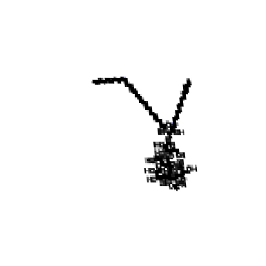 CCCCCCCC/C=C\CCCCCCCCCCCCCCCC(=O)N[C@@H](CO[C@@H]1OC(CO)[C@@H](O[C@@H]2OC(CO)[C@H](O[C@@H]3OC(CO)[C@H](O)[C@H](O)C3O)[C@H](O[C@]3(C(=O)O)CC(O)[C@@H](NC(C)=O)C([C@H](O)[C@H](O)CO)O3)C2O)[C@H](O)C1O)[C@H](O)/C=C/CCCCCCCCCCCCC